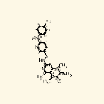 Cc1nc(NCc2ccc(Nc3ccc(F)cc3)nc2)nc2c1N(C)C(=O)C(C)N2C